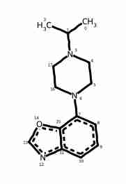 CC(C)N1CCN(c2cccc3ncoc23)CC1